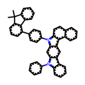 CC1(C)c2ccccc2-c2c(-c3ccc(-n4c5cc6c(cc5c5c7ccccc7ccc54)c4ccccc4n6-c4ccccc4)cc3)cccc21